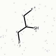 FCC(S)CF